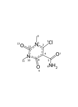 Cn1c(Cl)c(C(N)=O)c(=O)n(C)c1=O